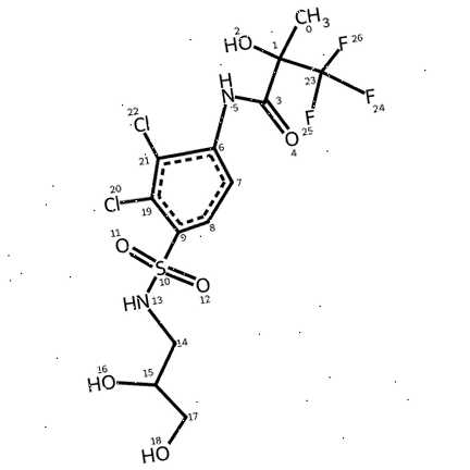 CC(O)(C(=O)Nc1ccc(S(=O)(=O)NCC(O)CO)c(Cl)c1Cl)C(F)(F)F